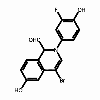 O=CC1c2ccc(O)cc2C(Br)=CN1c1ccc(O)c(F)c1